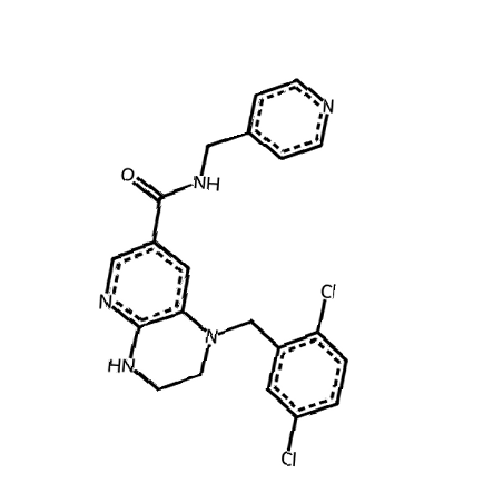 O=C(NCc1ccncc1)c1cnc2c(c1)N(Cc1cc(Cl)ccc1Cl)CCN2